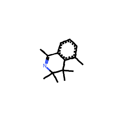 CC1=NC(C)(C)C(C)(C)c2c(C)cccc21